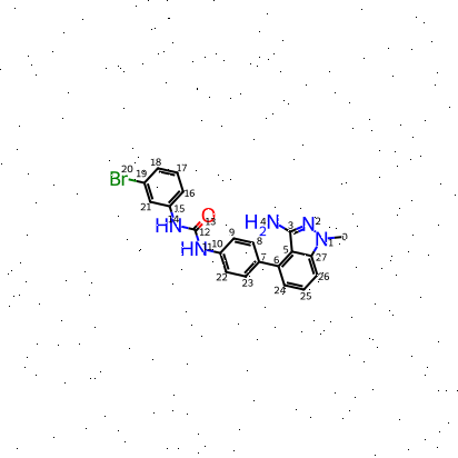 Cn1nc(N)c2c(-c3ccc(NC(=O)Nc4cccc(Br)c4)cc3)cccc21